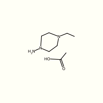 CC(=O)O.CCN1CCN(N)CC1